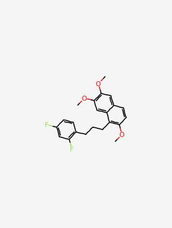 COc1cc2ccc(OC)c(CCCc3ccc(F)cc3F)c2cc1OC